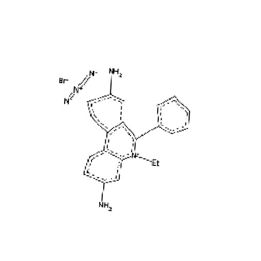 CC[n+]1c(-c2ccccc2)c2cc(N)ccc2c2ccc(N)cc21.[Br-].[N-]=[N+]=[N-]